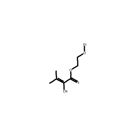 CCOCCOC(=S)C(C#N)=C(C)C